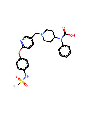 CS(=O)(=O)Nc1ccc(Oc2ccc(CN3CCC(N(C(=O)O)c4ccccc4)CC3)cn2)cc1